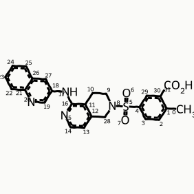 Cc1ccc(S(=O)(=O)N2CCc3c(ccnc3Nc3cnc4ccccc4c3)C2)cc1C(=O)O